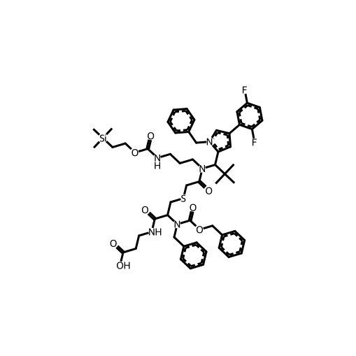 CC(C)(C)C(c1cc(-c2cc(F)ccc2F)cn1Cc1ccccc1)N(CCCNC(=O)OCC[Si](C)(C)C)C(=O)CSCC(C(=O)NCCC(=O)O)N(Cc1ccccc1)C(=O)OCc1ccccc1